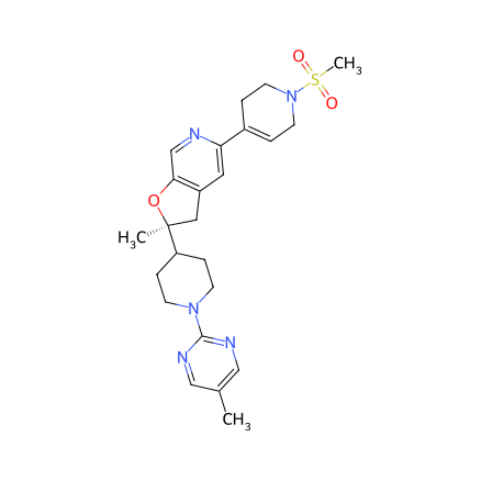 Cc1cnc(N2CCC([C@]3(C)Cc4cc(C5=CCN(S(C)(=O)=O)CC5)ncc4O3)CC2)nc1